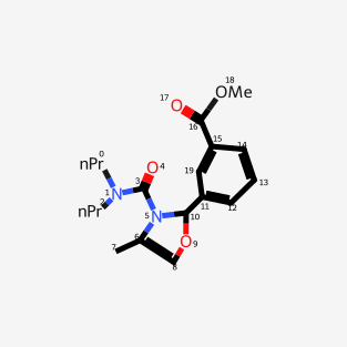 CCCN(CCC)C(=O)N1C(C)=COC1c1cccc(C(=O)OC)c1